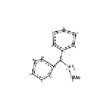 CN[SiH2]C(c1ccccc1)c1ccccc1